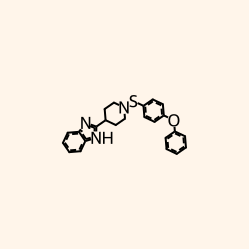 c1ccc(Oc2ccc(SN3CCC(c4nc5ccccc5[nH]4)CC3)cc2)cc1